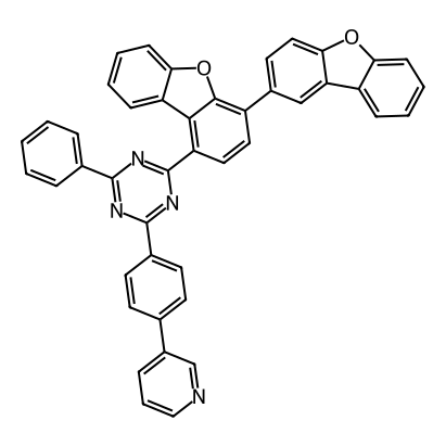 c1ccc(-c2nc(-c3ccc(-c4cccnc4)cc3)nc(-c3ccc(-c4ccc5oc6ccccc6c5c4)c4oc5ccccc5c34)n2)cc1